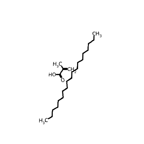 C=C(C)C(=O)O.CCCCCCCCCCCCCCCCCCC